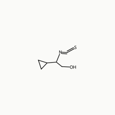 OCC(N=C=S)C1CC1